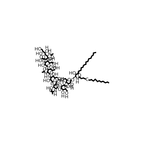 CCCCCCCCCCCCC/C=C/[C@@H](O)[C@H](CO[C@@H]1OC(CO)[C@@H](O[C@@H]2OC(CO)[C@H](O)[C@H](O[C@@H]3OC(CO)[C@@H](O[C@@H]4OC(CO)[C@H](O)[C@H](O[C@@H]5OC(CO)[C@@H](O)[C@H](O[C@@H]6OC(CO)[C@H](O)[C@H](O[C@]7(C(=O)O)CC(O)[C@@H](NC(C)=O)C([C@H](O)[C@H](O)CO)O7)C6O)C5NC(C)=O)C4O)[C@H](O)C3NC(C)=O)C2O)[C@H](O)C1O)NC(=O)CCCCCCCCCCCCCCC